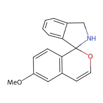 COc1ccc2c(c1)C=COC21NCc2ccccc21